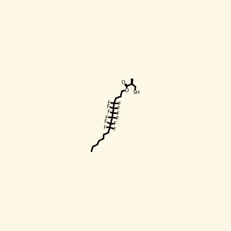 C=C(CS)C(=O)OCCCC(F)(F)C(F)(F)C(F)(F)C(F)(F)C(F)(F)C(F)(F)CCCCCCC